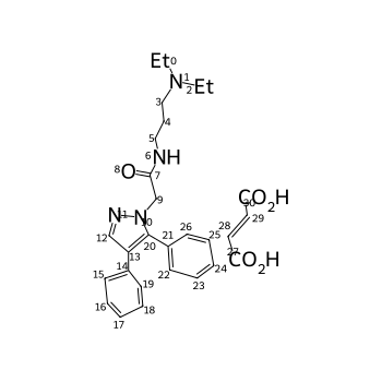 CCN(CC)CCCNC(=O)Cn1ncc(-c2ccccc2)c1-c1ccccc1.O=C(O)C=CC(=O)O